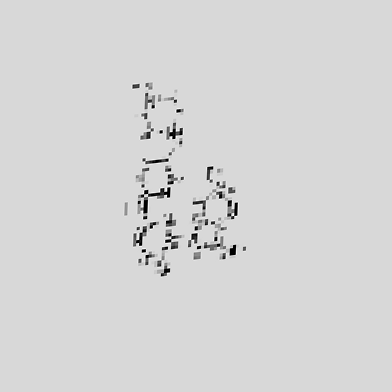 CCN1CCN(Cc2ccc(Nc3ncc(F)c(-c4cn(C(C)C)c5ncc(F)cc45)n3)nc2)CC1